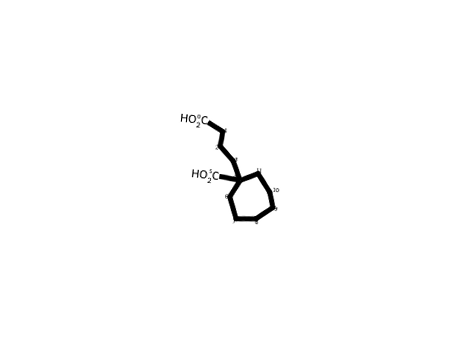 O=C(O)CCCC1(C(=O)O)CCCCCC1